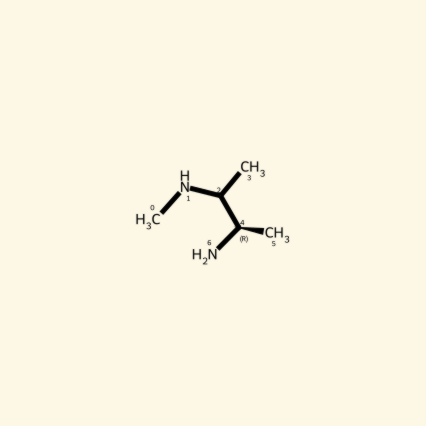 CNC(C)[C@@H](C)N